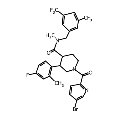 Cc1cc(F)ccc1C1CN(C(=O)c2ccc(Br)cn2)CCC1C(=O)N(C)Cc1cc(C(F)(F)F)cc(C(F)(F)F)c1